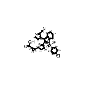 N#Cc1sccc1-c1c(-c2ccc(C3CC3C(=O)O)s2)n(S(=O)(=O)c2ccc(Cl)cc2)c2ccccc12